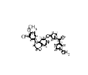 COc1ncc(N2CCOc3cnc(O[C@H]4CCN(C(=O)c5cn(C)cn5)C4)cc32)cc1Cl